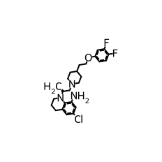 C=C(CN1CCC(CCOc2ccc(F)c(F)c2)CC1)N1CCCc2cc(Cl)cc(N)c21